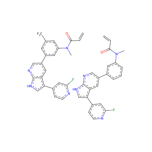 C=CC(=O)N(C)c1cc(-c2cnc3[nH]cc(-c4ccnc(F)c4)c3c2)cc(C(F)(F)F)c1.C=CC(=O)N(C)c1cccc(-c2cnc3[nH]cc(-c4ccnc(F)c4)c3c2)c1